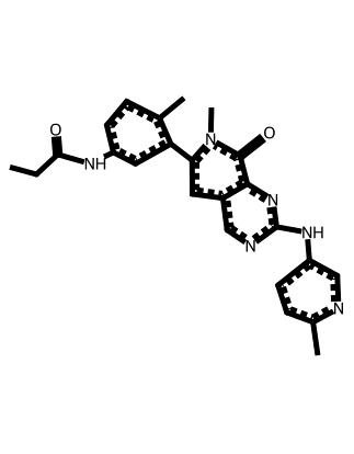 CCC(=O)Nc1ccc(C)c(-c2cc3cnc(Nc4ccc(C)nc4)nc3c(=O)n2C)c1